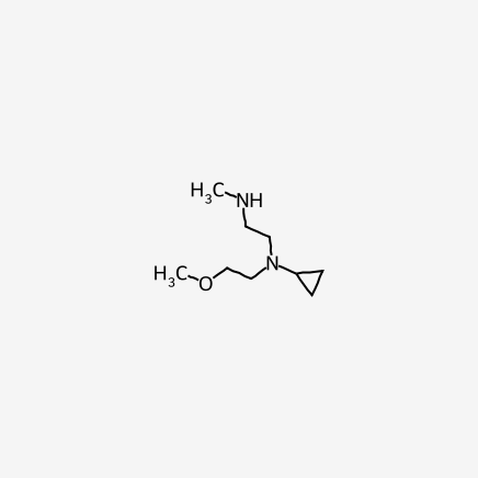 CNCCN(CCOC)C1CC1